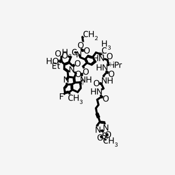 C=CCOC(=O)N(C)Cc1cc(C[C@H](C)NC(=O)[C@@H](NC(=O)CNC(=O)CNC(=O)CCCC#Cc2cnc(S(C)(=O)=O)nc2)C(C)C)ccc1COC(=O)N[C@H]1CCc2c(C)c(F)cc3nc4c(c1c23)Cn1c-4cc2c(c1=O)COC(=O)[C@]2(O)CC